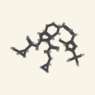 Cn1nc(C(F)(F)F)cc1N=C=N[C@H]1CCc2sc(NC(=O)C3CC3F)c(C(=O)NCC3CC3)c2C1